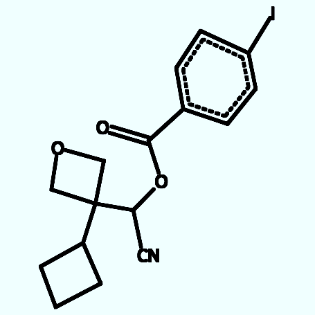 N#CC(OC(=O)c1ccc(I)cc1)C1(C2CCC2)COC1